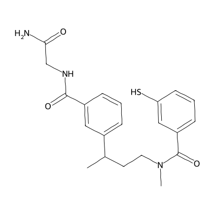 CC(CCN(C)C(=O)c1cccc(S)c1)c1cccc(C(=O)NCC(N)=O)c1